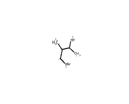 [CH2]C(C)(C)CC(C)C(C)CCC